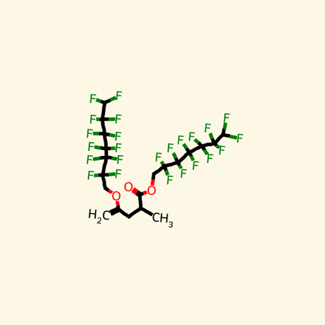 C=C(CC(C)C(=O)OCC(F)(F)C(F)(F)C(F)(F)C(F)(F)C(F)(F)C(F)F)OCC(F)(F)C(F)(F)C(F)(F)C(F)(F)C(F)(F)C(F)F